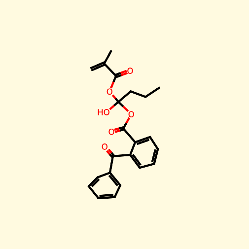 C=C(C)C(=O)OC(O)(CCC)OC(=O)c1ccccc1C(=O)c1ccccc1